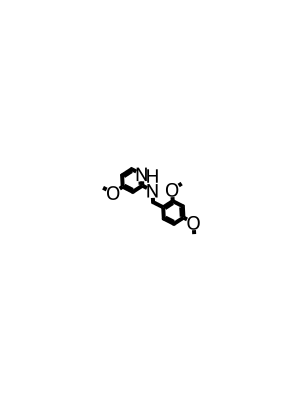 COc1ccnc(NCc2ccc(OC)cc2OC)c1